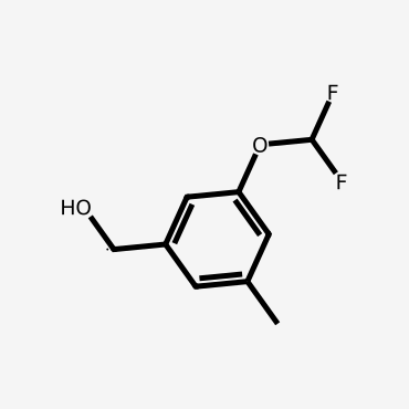 Cc1cc([CH]O)cc(OC(F)F)c1